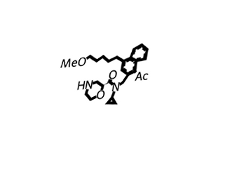 COCCCCCc1cc(CN(C(=O)[C@H]2CNCCO2)C2CC2)c(C(C)=O)c2ccccc12